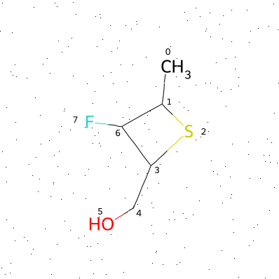 CC1SC(CO)C1F